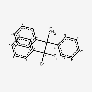 CC(Br)(c1ccccc1)C(P)(c1ccccc1)c1ccccc1